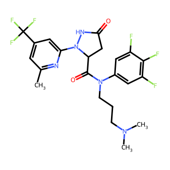 Cc1cc(C(F)(F)F)cc(N2NC(=O)CC2C(=O)N(CCCN(C)C)c2cc(F)c(F)c(F)c2)n1